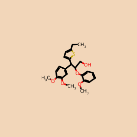 CCc1ccc(C(c2ccc(OC)c(OC)c2)C(CO)Oc2ccccc2OC)s1